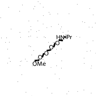 COCCOCCOCCOCCOCCNC(C)C